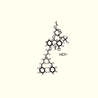 CCOC(=O)CC1OC(c2cccc(OCCCN(CCCc3ccccc3)CCCc3ccccc3)c2OC)c2cc(Cl)ccc2N(CC(C)(C)C)C1=O.Cl